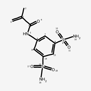 C=C(C)C(=O)Nc1cc(S(N)(=O)=O)cc(S(N)(=O)=O)c1